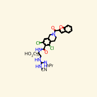 CCCNC(NC#N)NC[C@H](NC(=O)c1c(Cl)cc2c(c1Cl)CCN(C(=O)c1cc3ccccc3o1)C2)C(=O)O